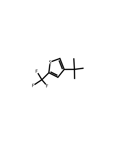 CC(C)(C)c1csc(C(F)(F)F)c1